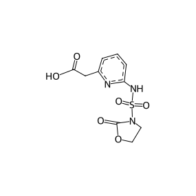 O=C(O)Cc1cccc(NS(=O)(=O)N2CCOC2=O)n1